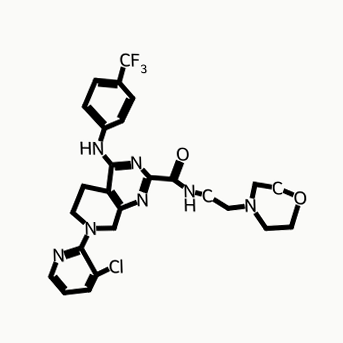 O=C(NCCN1CCOCC1)c1nc2c(c(Nc3ccc(C(F)(F)F)cc3)n1)CCN(c1ncccc1Cl)C2